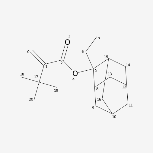 C=C(C(=O)OC1(CC)C2CC3CC(C2)CC1C3)C(C)(C)C